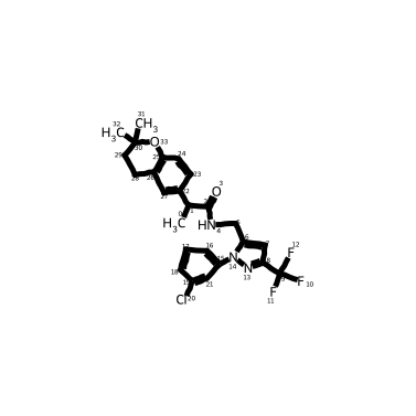 CC(C(=O)NCc1cc(C(F)(F)F)nn1-c1cccc(Cl)c1)c1ccc2c(c1)CCC(C)(C)O2